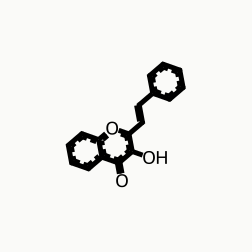 O=c1c(O)c(C=Cc2ccccc2)oc2ccccc12